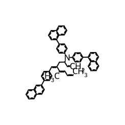 C=CC(CC(=C/c1ccc(-c2ccc3ccccc3c2)cc1)/C(C)=C/C=C\C)N(c1ccc(-c2cccc3ccccc23)cc1)c1ccc(-c2cccc3ccccc23)cc1